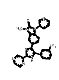 Cc1cccc(-c2[nH]c(-c3cnccn3)nc2-c2ccc3c(c2)n(C)c(=O)n3-c2cccnc2)c1